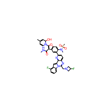 CNC(=O)c1c(N2C=CC(C)=CC2O)oc2cc(N(C)S(C)(=O)=O)c(-c3ccc4nc(CN5CC(F)C5)n5c6cccc(F)c6cc5c4n3)cc12